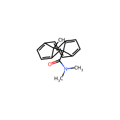 CN(C)C(=O)C1(C2(C)C3=CC=C2C=C3)C2=CC=C1C=C2